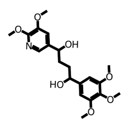 COc1cc(C(O)CCC(O)c2cc(OC)c(OC)c(OC)c2)cnc1OC